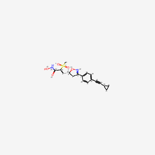 CS(=O)(=O)C(C[C@H]1CC(c2ccc(C#CC3CC3)cc2)=NO1)C(=O)NO